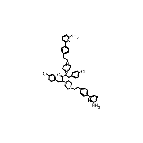 Nc1cccc(-c2ccc(CCN3CCN(C(Cc4ccc(Cl)cc4)C(=O)C(Cc4ccc(Cl)cc4)N4CCN(CCc5ccc(-c6cccc(N)n6)cc5)CC4)CC3)cc2)n1